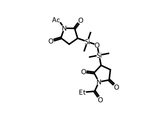 CCC(=O)N1C(=O)CC([Si](C)(C)O[Si](C)(C)C2CC(=O)N(C(C)=O)C2=O)C1=O